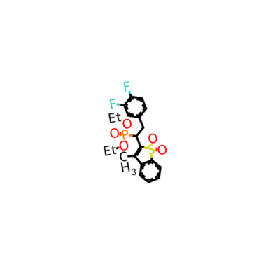 CCOP(=O)(OCC)C(Cc1ccc(F)c(F)c1)C1=C(C)c2ccccc2S1(=O)=O